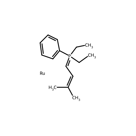 CCP(=CC=C(C)C)(CC)c1ccccc1.[Ru]